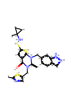 C=C1N(Cc2cnc(C)s2)C(=O)c2cc(SNC3(C)CC3)sc2N1Cc1ccc2cn[nH]c2c1